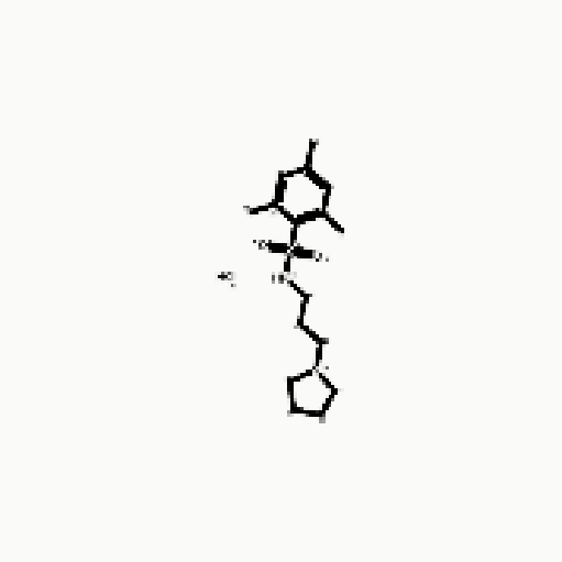 Cc1cc(C)c(S(=O)(=O)NCCCN2CCCC2)c(C)c1.Cl